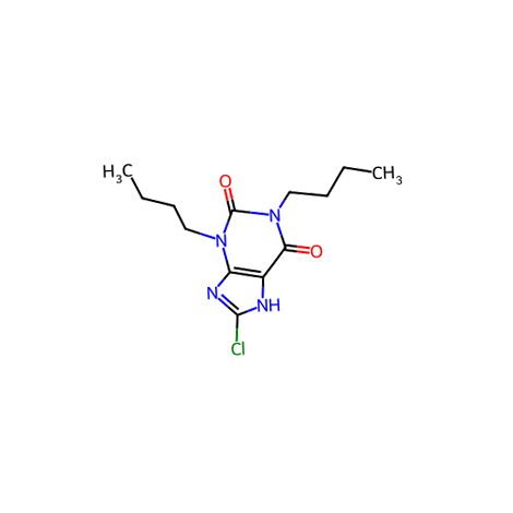 CCCCn1c(=O)c2[nH]c(Cl)nc2n(CCCC)c1=O